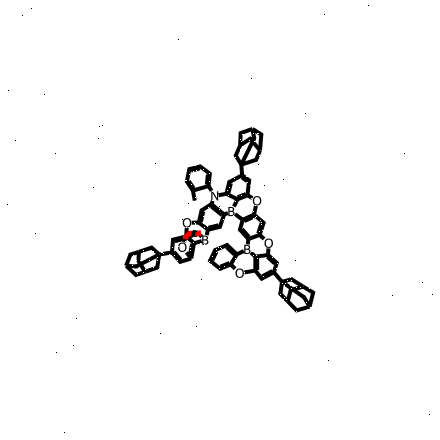 Cc1ccccc1N1c2cc3c(cc2B2c4cc5c(cc4Oc4cc(C67CC8CC(CC(C8)C6)C7)cc1c42)Oc1cc(C24CC6CC(CC(C6)C2)C4)cc2c1B5c1ccccc1O2)B1c2ccccc2Oc2cc(C45CC6CC(CC(C6)C4)C5)cc(c21)O3